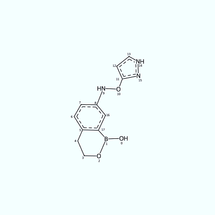 OB1OCCc2ccc(NOc3cc[nH]n3)cc21